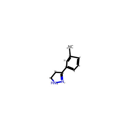 [C-]#[N+]c1cccc(C2=NNCC2)c1